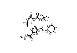 CC(C)(C)OC(=O)OC(=O)OC(C)(C)C.CCOC(=O)c1cc(COC2CCCCO2)no1